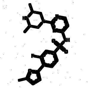 Cc1ccc(-c2ccc(S(=O)(=O)Nc3ccnc(N4CC(C)NC(C)C4)n3)cc2F)o1